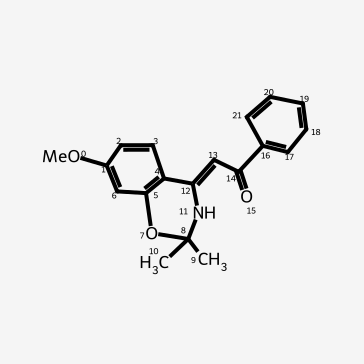 COc1ccc2c(c1)OC(C)(C)N/C2=C\C(=O)c1ccccc1